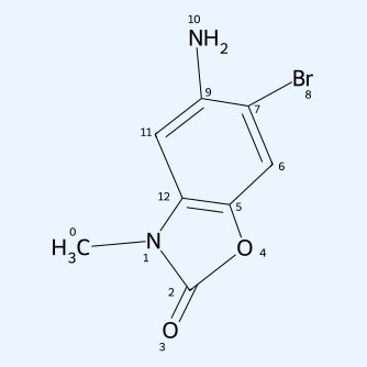 Cn1c(=O)oc2cc(Br)c(N)cc21